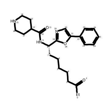 CCC(=O)CCCCC[C@H](NC(=O)C1CCNCC1)c1ncc(-c2ccccc2)o1